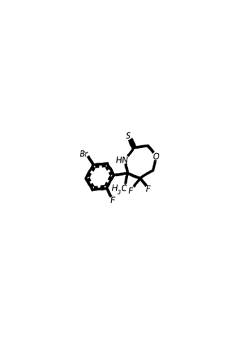 CC1(c2cc(Br)ccc2F)NC(=S)COCC1(F)F